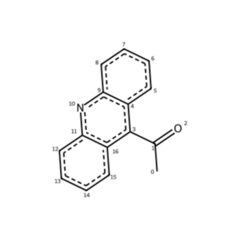 CC(=O)c1c2ccccc2nc2ccccc12